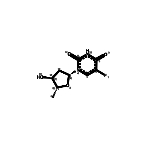 C[C@H]1O[C@@H](n2cc(F)c(=O)[nH]c2=O)C[C@@H]1O